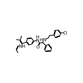 C/C=C\NC(=C(C)C)c1ccc(NC(=O)C(NCCc2ccc(Cl)cc2)c2ccccc2)cc1